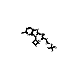 Cc1ccc2nc(NC(=O)CCOC(C)(C)C)n(C3CCC3)c2n1